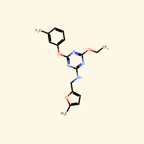 Cc1ccc(CNc2nc(OCC(F)(F)F)nc(Oc3cccc(C(F)(F)F)c3)n2)o1